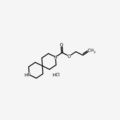 C=CCOC(=O)N1CCC2(CCNCC2)CC1.Cl